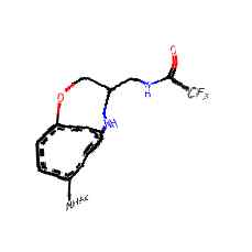 CC(=O)Nc1ccc2c(c1)NC(CNC(=O)C(F)(F)F)CO2